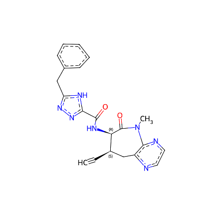 C#C[C@@H]1Cc2nccnc2N(C)C(=O)[C@@H]1NC(=O)c1nnc(Cc2ccccc2)[nH]1